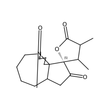 CC1C(=O)O[C@@]2(C(=O)CC3CCCCN4C(=O)CCC342)C1C